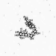 CC(=O)O[C@H]1C[C@H](OC2[C@@H](O)C[C@H](O[C@H]3[C@@H](O)C[C@H](O[C@H]4CC[C@@]5(C)[C@H](CC[C@@H]6[C@@H]5C[C@@H](O)[C@]5(C)[C@@H](C7=CC(=O)OC7)CC[C@]65O)C4)O[C@@H]3C)O[C@@H]2C)O[C@H](C)[C@H]1O[C@@H]1O[C@H](CO)[C@@H](O)[C@H](O)[C@H]1O